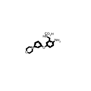 Nc1ccc(Oc2cccc(N3CCOCC3)c2)cc1CNC(=O)O